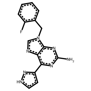 Nc1nc(-c2cc[nH]n2)c2ncn(Cc3ccccc3F)c2n1